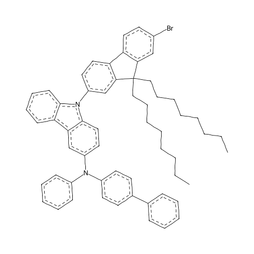 CCCCCCCCC1(CCCCCCCC)c2cc(Br)ccc2-c2ccc(-n3c4ccccc4c4cc(N(c5ccccc5)c5ccc(-c6ccccc6)cc5)ccc43)cc21